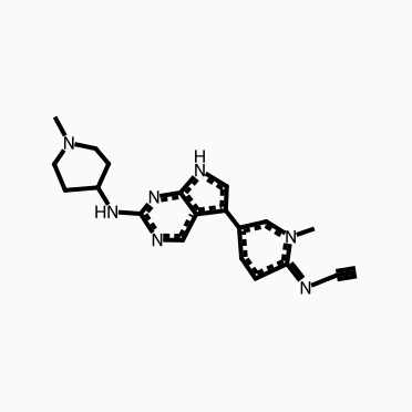 C#C/N=c1/ccc(-c2c[nH]c3nc(NC4CCN(C)CC4)ncc23)cn1C